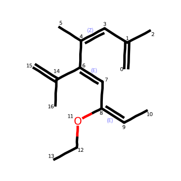 C=C(C)\C=C(C)/C(=C/C(=C\C)OCC)C(=C)C